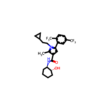 Cc1c(C(=O)N[C@@H]2CCCC[C@H]2O)cc(-c2cc(C(F)(F)F)ccc2C(F)(F)F)n1CCC1CC1